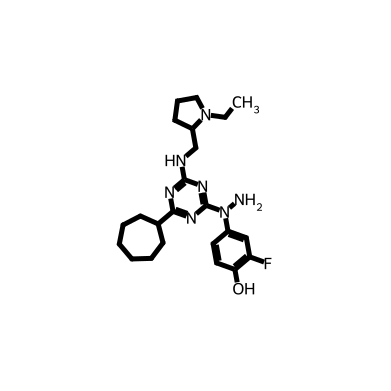 CCN1CCCC1CNc1nc(C2CCCCCC2)nc(N(N)c2ccc(O)c(F)c2)n1